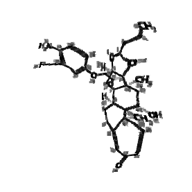 CCCC1O[C@@H]2CC3[C@@H]4CCC5=CC(=O)C=C[C@]5(C)C4[C@@H](O)C[C@]3(C)[C@]2(C(=O)COc2ccc(N)c(F)c2)O1